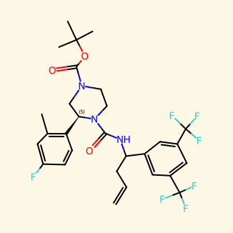 C=CCC(NC(=O)N1CCN(C(=O)OC(C)(C)C)C[C@@H]1c1ccc(F)cc1C)c1cc(C(F)(F)F)cc(C(F)(F)F)c1